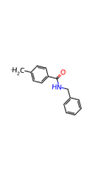 [CH2]c1ccc(C(=O)NCc2ccccc2)cc1